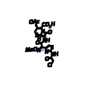 CO/N=C(\C(=O)N[C@H]1C(=O)N2C(C(=O)O)=C(COC(C)=O)CS[C@H]12)c1csc(NC(=O)CCl)n1